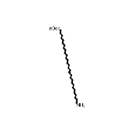 CCCCCCCCCCCCCCCCCCCCCCCCCCC=CCCCCCCCCCCCCN